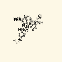 CO[C@H]1CC[C@H](NC(=O)c2nc(N[C@H]3CCCC[C@H]3NC(=N)CCO)c3cc(C)ccc3n2)CC1.Cl.Cl